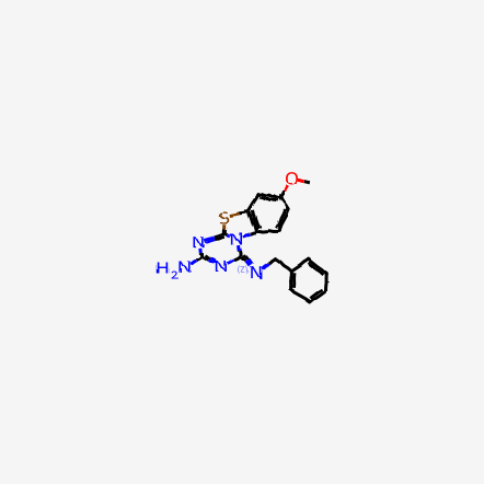 COc1ccc2c(c1)sc1nc(N)n/c(=N/Cc3ccccc3)n12